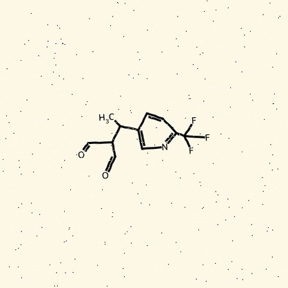 CC(c1ccc(C(F)(F)F)nc1)C(C=O)C=O